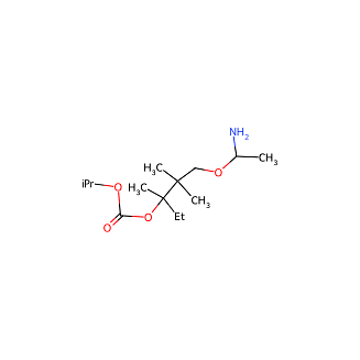 CCC(C)(OC(=O)OC(C)C)C(C)(C)COC(C)N